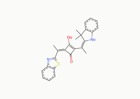 C/C(=C1/C(=O)C(C(/C)=C2/Nc3ccccc3C2(C)C)=C1O)c1nc2ccccc2s1